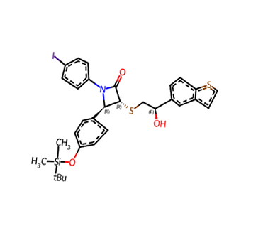 CC(C)(C)[Si](C)(C)Oc1ccc([C@@H]2[C@@H](SC[C@H](O)c3ccc4sccc4c3)C(=O)N2c2ccc(I)cc2)cc1